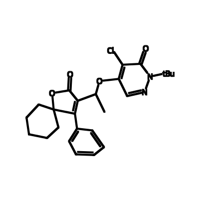 CC(Oc1cnn(C(C)(C)C)c(=O)c1Cl)C1=C(c2ccccc2)C2(CCCCC2)OC1=O